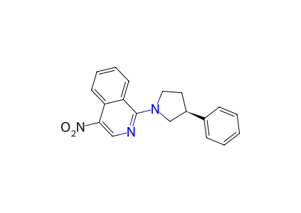 O=[N+]([O-])c1cnc(N2CC[C@@H](c3ccccc3)C2)c2ccccc12